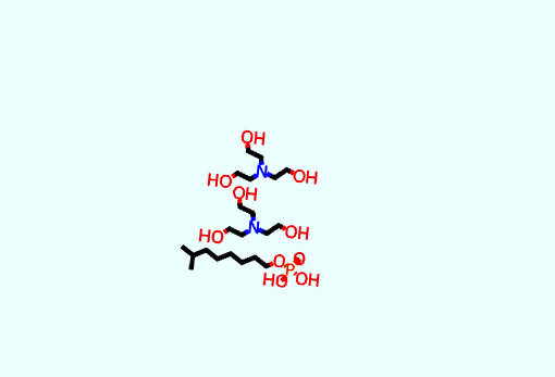 CC(C)CCCCCCOP(=O)(O)O.OCCN(CCO)CCO.OCCN(CCO)CCO